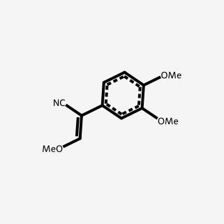 COC=C(C#N)c1ccc(OC)c(OC)c1